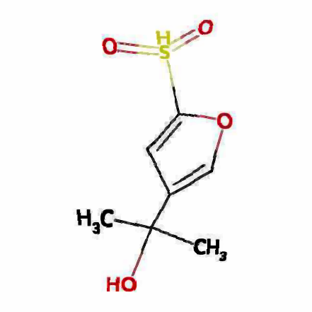 CC(C)(O)c1coc([SH](=O)=O)c1